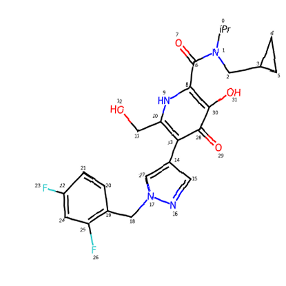 CC(C)N(CC1CC1)C(=O)c1[nH]c(CO)c(-c2cnn(Cc3ccc(F)cc3F)c2)c(=O)c1O